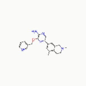 Cc1cc(-c2cnc(N)c(OCc3cccnc3)n2)cc2c1CCN(C)C2